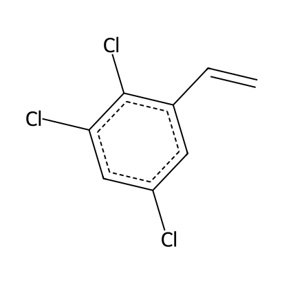 C=Cc1cc(Cl)cc(Cl)c1Cl